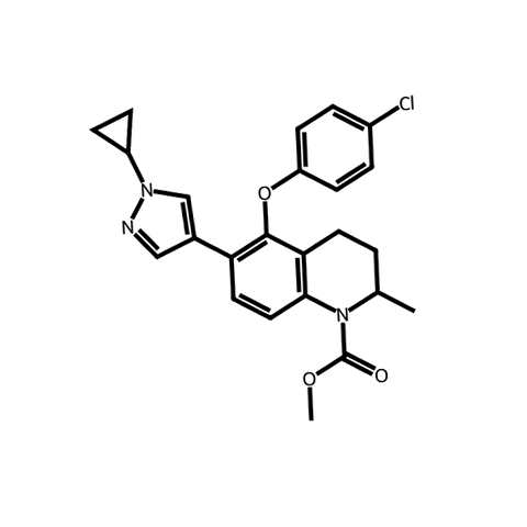 COC(=O)N1c2ccc(-c3cnn(C4CC4)c3)c(Oc3ccc(Cl)cc3)c2CCC1C